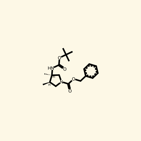 C[C@@H]1CN(C(=O)OCc2ccccc2)C[C@]1(C)NC(=O)OC(C)(C)C